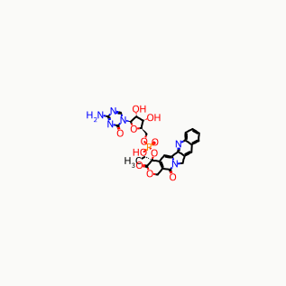 CC[C@@]1(OP(=O)(O)OC[C@H]2O[C@@H](n3cnc(N)nc3=O)[C@H](O)[C@@H]2O)C(=O)OCc2c1cc1n(c2=O)Cc2cc3ccccc3nc2-1